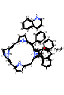 C1=Cc2cc3c(-c4ccccc4)c(-c4ccccc4)c(c(-c4ccccc4)c4nc(cc5ccc(cc1n2)[nH]5)C=C4)n3-c1ccccc1.[MgH2].c1ccc2ncccc2c1